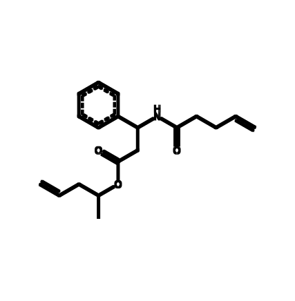 C=CCCC(=O)NC(CC(=O)OC(C)CC=C)c1ccccc1